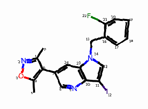 Cc1noc(C)c1-c1cnc2c(I)cn(Cc3ccccc3F)c2c1